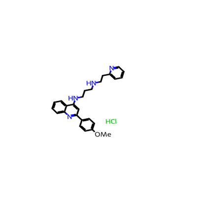 COc1ccc(-c2cc(NCCCNCCc3ccccn3)c3ccccc3n2)cc1.Cl